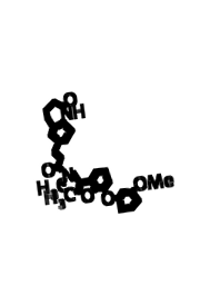 COc1cccc(Oc2cccc3c(CN(C)C(=O)/C=C/c4ccc5c(c4)CCCC(=O)N5)c(C)oc23)c1